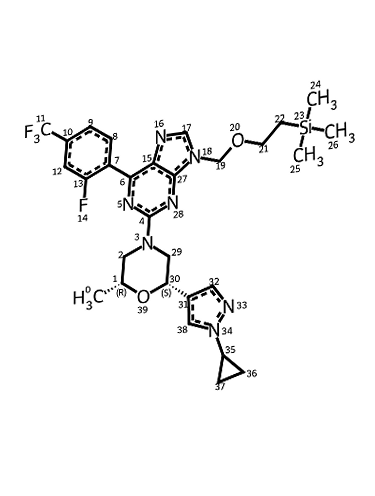 C[C@@H]1CN(c2nc(-c3ccc(C(F)(F)F)cc3F)c3ncn(COCC[Si](C)(C)C)c3n2)C[C@H](c2cnn(C3CC3)c2)O1